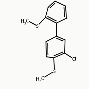 CSc1ccc[c]c1-c1ccc(SC)c(Cl)c1